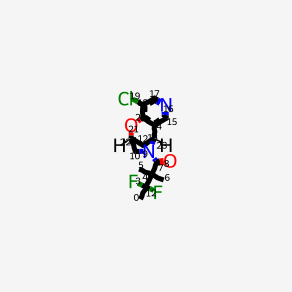 CC(F)(F)C(C)(C)C(=O)N1C[C@@H]2C[C@H]1c1cncc(Cl)c1O2